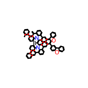 C=C(/C=C\C=C/C)c1cccc(-c2ccccc2)c1N1c2cc(-c3ccccc3)ccc2B2c3ccc(-c4ccccc4)cc3N(c3c(-c4ccccc4)cccc3-c3ccccc3)c3cc(-c4cc(-c5ccc6oc7ccccc7c6c5)c5oc6ccccc6c5c4)cc1c32